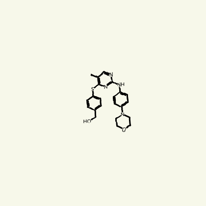 Cc1cnc(Nc2ccc(N3CCOCC3)cc2)nc1Sc1ccc(CO)cc1